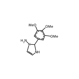 COc1cc(C2NC=CN2N)cc(OC)c1OC